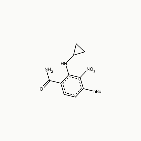 CCCCc1ccc(C(N)=O)c(NC2CC2)c1[N+](=O)[O-]